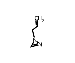 C=CCN1C=N1